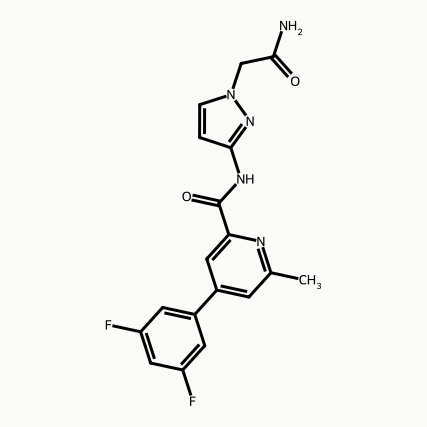 Cc1cc(-c2cc(F)cc(F)c2)cc(C(=O)Nc2ccn(CC(N)=O)n2)n1